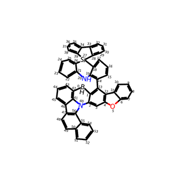 B1c2c(cc3oc4ccccc4c3c2-c2cccc3c2Nc2ccccc2[Si]32c3ccccc3-c3ccccc32)-n2c3c1cccc3c1ccc3ccccc3c12